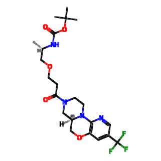 C[C@@H](COCCC(=O)N1CCN2c3ncc(C(F)(F)F)cc3OC[C@H]2C1)NC(=O)OC(C)(C)C